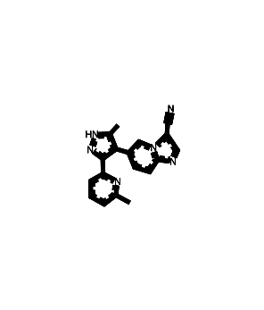 Cc1cccc(-c2n[nH]c(C)c2-c2ccc3ncc(C#N)n3c2)n1